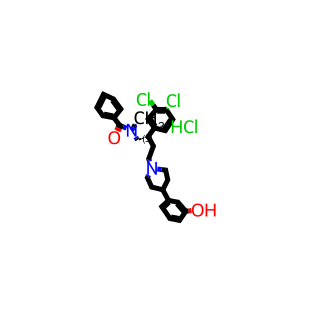 CN(C[C@@H](CCN1CCC(c2cccc(O)c2)CC1)c1ccc(Cl)c(Cl)c1)C(=O)c1ccccc1.Cl